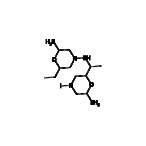 BC1CN(BC(C)C2CN(I)CC(B)O2)CC(CC)O1